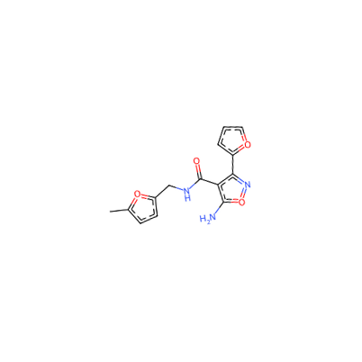 Cc1ccc(CNC(=O)c2c(-c3ccco3)noc2N)o1